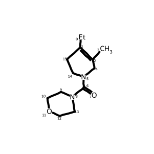 CCC1=C(C)CN(C(=O)N2CCOCC2)CC1